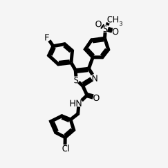 CS(=O)(=O)c1ccc(-c2nc(C(=O)NCc3cccc(Cl)c3)sc2-c2ccc(F)cc2)cc1